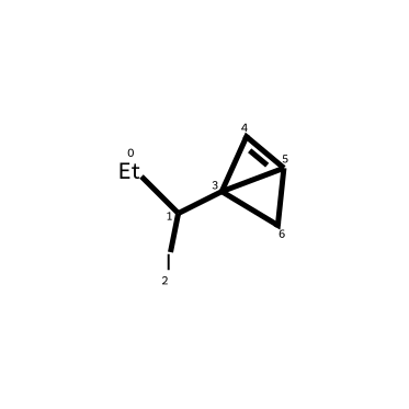 CCC(I)C12C=C1C2